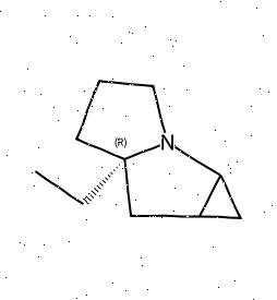 CC[C@]12CCCN1C1CC1C2